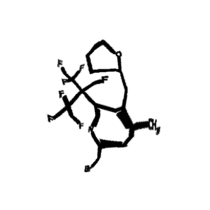 Cc1[c]c(Br)nc(C(F)(C(F)(F)F)C(F)(F)F)c1CC1CCCO1